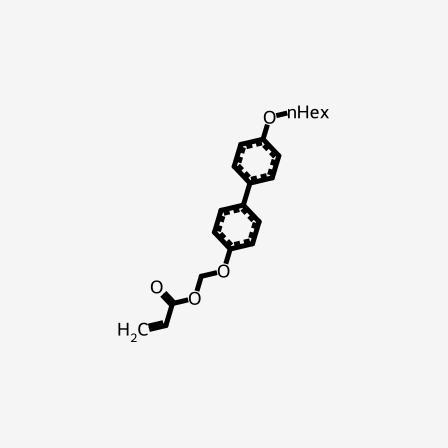 C=CC(=O)OCOc1ccc(-c2ccc(OCCCCCC)cc2)cc1